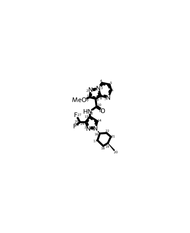 COc1nn2cccnc2c1C(=O)Nc1cn([C@H]2CC[C@H](C)CC2)nc1C(F)F